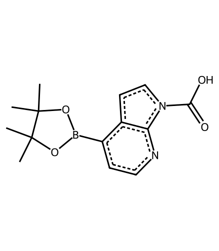 CC1(C)OB(c2ccnc3c2ccn3C(=O)O)OC1(C)C